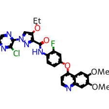 CCOc1cn(-c2nccnc2Cl)nc1C(=O)Nc1ccc(Oc2ccnc3cc(OC)c(OC)cc23)cc1F